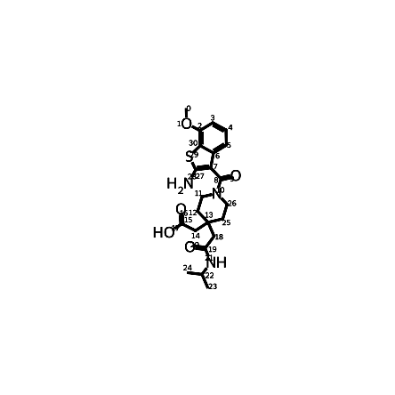 COc1cccc2c(C(=O)N3CCC(CC(=O)O)(CC(=O)NC(C)C)CC3)c(N)sc12